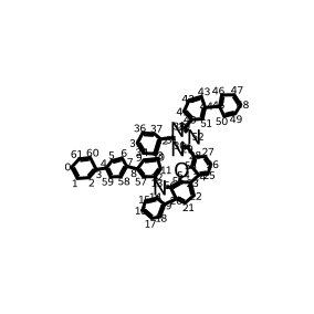 c1ccc(-c2ccc(-c3cccc(-n4c5ccccc5c5ccc6c7cccc(-c8nc(-c9ccccc9)nc(-c9cccc(-c%10ccccc%10)c9)n8)c7oc6c54)c3)cc2)cc1